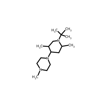 CC1CN(C(C)(C)C)C(C)CC1N1CCN(C)CC1